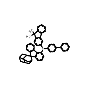 CC1(C)c2ccccc2-c2cc(N(c3ccc(-c4ccccc4)cc3)c3cccc4c3-c3ccccc3C43C4CC5CC(C4)CC3C5)ccc21